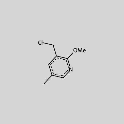 COc1ncc(C)cc1CCl